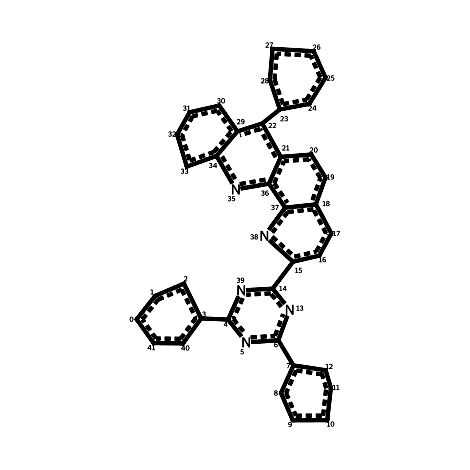 c1ccc(-c2nc(-c3ccccc3)nc(-c3ccc4ccc5c(-c6ccccc6)c6ccccc6nc5c4n3)n2)cc1